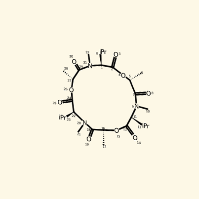 CC(C)[C@H]1C(=O)O[C@H](C)C(=O)N(C)[C@@H](C(C)C)C(=O)O[C@H](C)C(=O)N(C)[C@@H](C(C)C)C(=O)O[C@H](C)C(=O)N1C